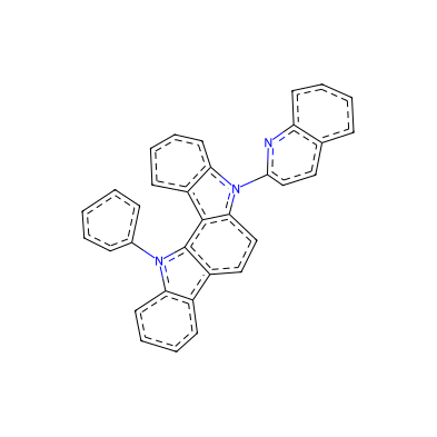 c1ccc(-n2c3ccccc3c3ccc4c(c5ccccc5n4-c4ccc5ccccc5n4)c32)cc1